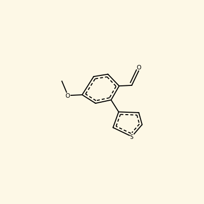 COc1ccc(C=O)c(-c2ccsc2)c1